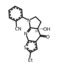 CCc1cc2c(s1)N=C1N(c3ccccc3C#N)CC[C@@]1(O)C2=O